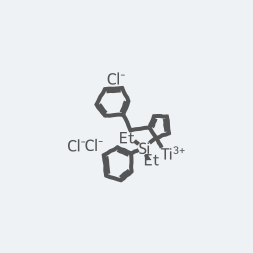 CC[Si](CC)(c1ccccc1)[C]1([Ti+3])C=CC=C1Cc1ccccc1.[Cl-].[Cl-].[Cl-]